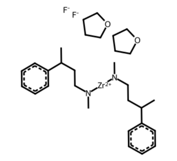 C1CCOC1.C1CCOC1.CC(CC[N](C)[Zr+2][N](C)CCC(C)c1ccccc1)c1ccccc1.[F-].[F-]